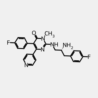 Cn1c(NC[C@H](N)Cc2ccc(F)cc2)nc(-c2ccncc2)c(-c2ccc(F)cc2)c1=O